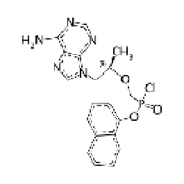 C[C@H](Cn1cnc2c(N)ncnc21)OCP(=O)(Cl)Oc1cccc2ccccc12